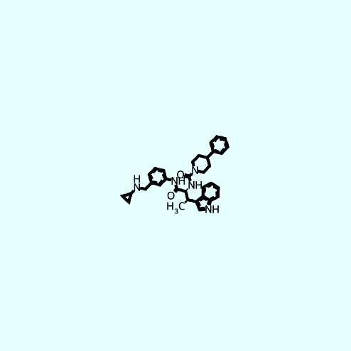 C[C@H](c1c[nH]c2ccccc12)[C@@H](NC(=O)N1CCC(c2ccccc2)CC1)C(=O)Nc1cccc(CNC2CC2)c1